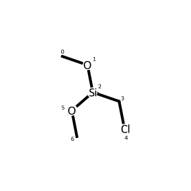 CO[Si](CCl)OC